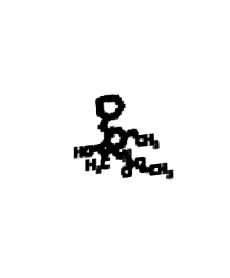 CCOC(=O)/N=C/C12CC(CC)CN(CC3C=CC=CCC3)C1C(O)C2C